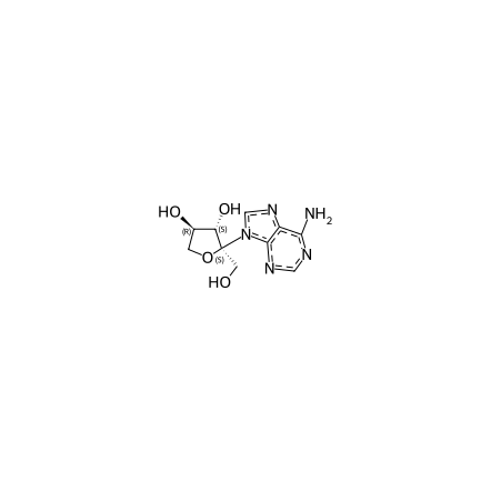 Nc1ncnc2c1ncn2[C@@]1(CO)OC[C@@H](O)[C@@H]1O